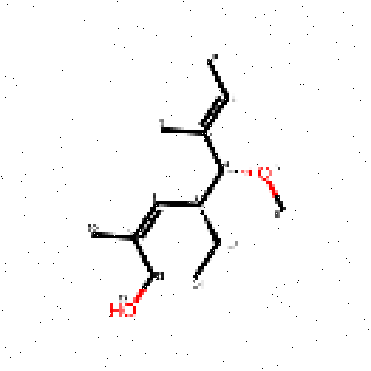 C/C=C(\C)[C@H](OC)[C@H](/C=C(/C)CO)CC